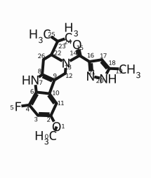 COc1cc(F)c2[nH]c3c(c2c1)CN(C(=O)c1cc(C)[nH]n1)C(C(C)C)C3